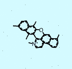 Cc1ccc2c(C)c3c(c(C)c2c1)-c1c2c(cc4c(C)cccc4c2cc[n+]1C)O3